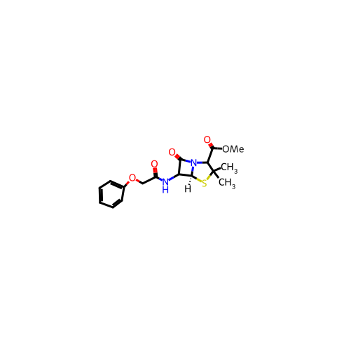 COC(=O)C1N2C(=O)C(NC(=O)COc3ccccc3)[C@@H]2SC1(C)C